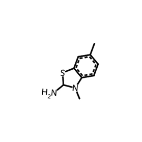 Cc1ccc2c(c1)SC(N)N2C